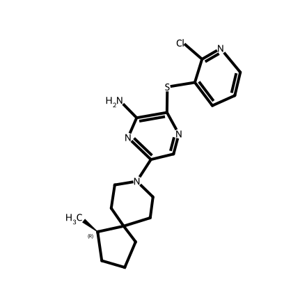 C[C@@H]1CCCC12CCN(c1cnc(Sc3cccnc3Cl)c(N)n1)CC2